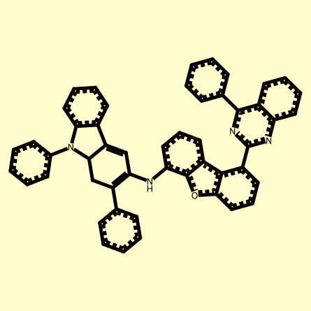 C1=C2c3ccccc3N(c3ccccc3)C2CC(c2ccccc2)=C1Nc1cccc2c1oc1cccc(-c3nc(-c4ccccc4)c4ccccc4n3)c12